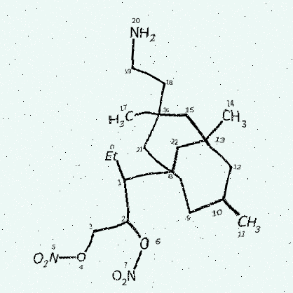 CCC(C(CO[N+](=O)[O-])O[N+](=O)[O-])C12CC(C)CC(C)(CC(C)(CCN)C1)C2